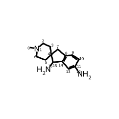 CN1CCC2(CC1)Cc1ccc(N)cc1C2N